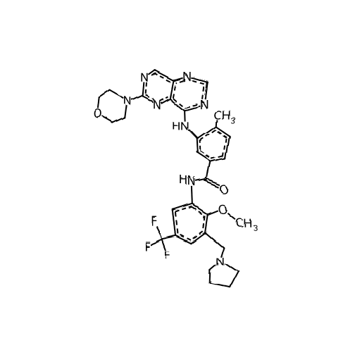 COc1c(CN2CCCC2)cc(C(F)(F)F)cc1NC(=O)c1ccc(C)c(Nc2ncnc3cnc(N4CCOCC4)nc23)c1